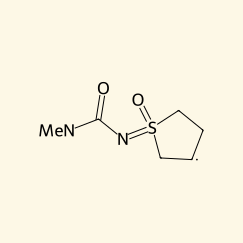 CNC(=O)N=S1(=O)C[CH]CC1